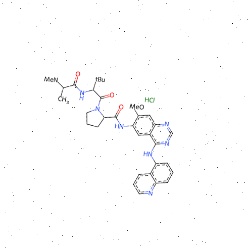 CNC(C)C(=O)NC(C(=O)N1CCCC1C(=O)Nc1cc2c(Nc3cccc4ncccc34)ncnc2cc1OC)C(C)(C)C.Cl